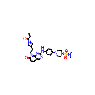 C=CC(=O)N1CC(CCn2c(=O)ccc3cnc(Nc4ccc(N5CCN(S(=O)(=O)N(C)C)CC5)cc4)nc32)C1